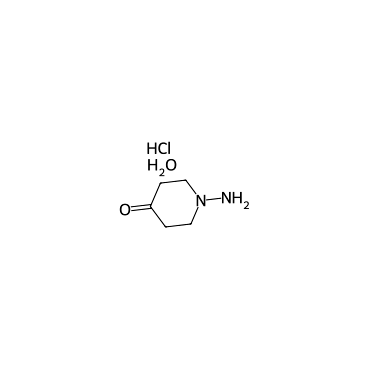 Cl.NN1CCC(=O)CC1.O